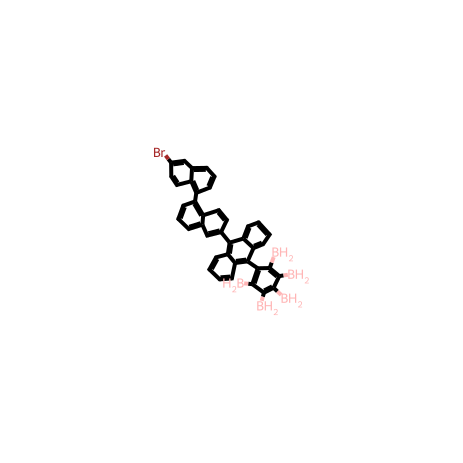 Bc1c(B)c(B)c(-c2c3ccccc3c(-c3ccc4c(-c5cccc6cc(Br)ccc56)cccc4c3)c3ccccc23)c(B)c1B